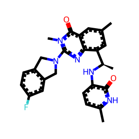 Cc1cc([C@@H](C)Nc2ccc(C)[nH]c2=O)c2nc(N3Cc4ccc(F)cc4C3)n(C)c(=O)c2c1